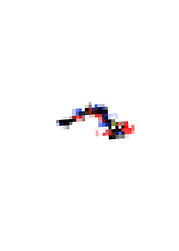 CC(=O)N1C(C(=O)O)=C(S[C@@H]2CN[C@H](C(=O)Nc3cccc(C(=O)NS(=O)(=O)CCNC(=O)COCCCCc4cccnc4)c3)C2)[C@H](C)C1C[C@@H](C)O